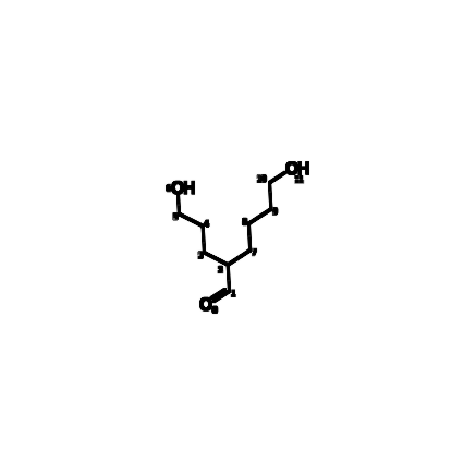 O=CC(CCCO)CCCCO